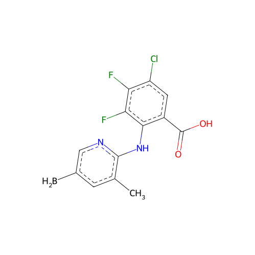 Bc1cnc(Nc2c(C(=O)O)cc(Cl)c(F)c2F)c(C)c1